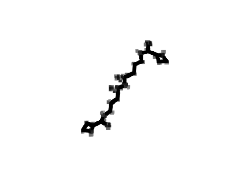 CCC(OCCC[SiH2]O[SiH2]CCCOC(CC)C1CCO1)C1CCO1